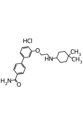 CC1(C)CCC(NCCOc2cccc(-c3ccc(C(N)=O)cc3)c2)CC1.Cl